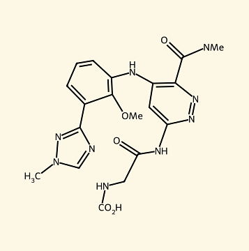 CNC(=O)c1nnc(NC(=O)CNC(=O)O)cc1Nc1cccc(-c2ncn(C)n2)c1OC